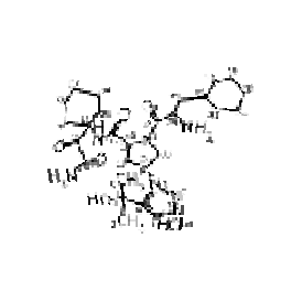 CC(C)(O)c1cnnn1[C@H]1C[C@@H](C(=O)NC2(C(=O)C(N)=O)CCCCC2)N(C(=O)C(N)CC2CCCCC2)C1.Cl